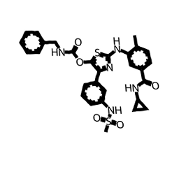 Cc1ccc(C(=O)NC2CC2)cc1Nc1nc(-c2cccc(NS(C)(=O)=O)c2)c(OC(=O)NCc2ccccc2)s1